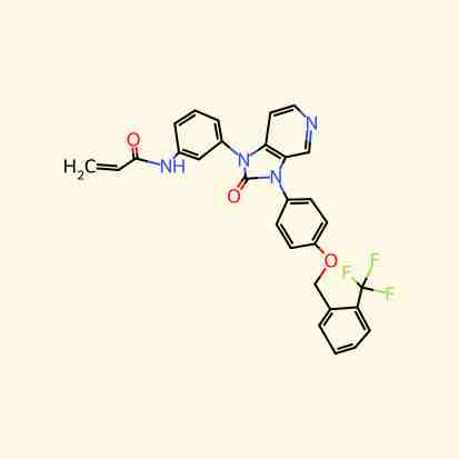 C=CC(=O)Nc1cccc(-n2c(=O)n(-c3ccc(OCc4ccccc4C(F)(F)F)cc3)c3cnccc32)c1